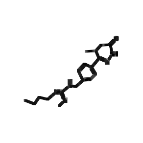 CCCCNC(=NC)NCc1ccc(C2=NNC(=O)CC2C)cc1